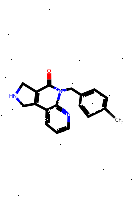 O=c1c2c(c3cccnc3n1Cc1ccc(C(F)(F)F)cc1)CNC2